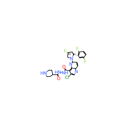 O=C(NNC(=O)C1CCNCC1)c1c(Cl)cnc2ccc(N3C[C@@H](F)C[C@@H]3c3cc(F)ccc3F)nc12